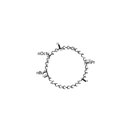 C=C1CCCCCCCCCC(C)C(CCCC)CCCC(CCCCCCCC)CCC(=C)CCCCCCCN(CCC)CCC1